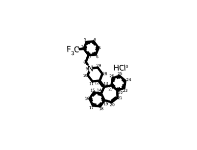 Cl.FC(F)(F)c1ccccc1CN1CCC(=C2c3ccccc3C=Cc3ccccc32)CC1